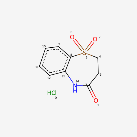 Cl.O=C1CCS(=O)(=O)c2ccccc2N1